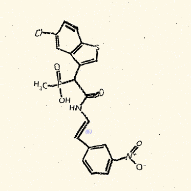 CP(=O)(O)C(C(=O)N/C=C/c1cccc([N+](=O)[O-])c1)c1csc2ccc(Cl)cc12